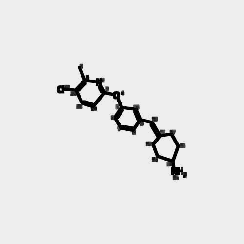 Cc1nc(Oc2cccc(C=C3CCC(N)CC3)c2)ccc1Cl